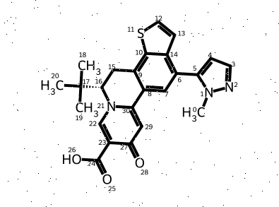 Cn1nccc1-c1cc2c(c3sccc13)C[C@@H](C(C)(C)C)n1cc(C(=O)O)c(=O)cc1-2